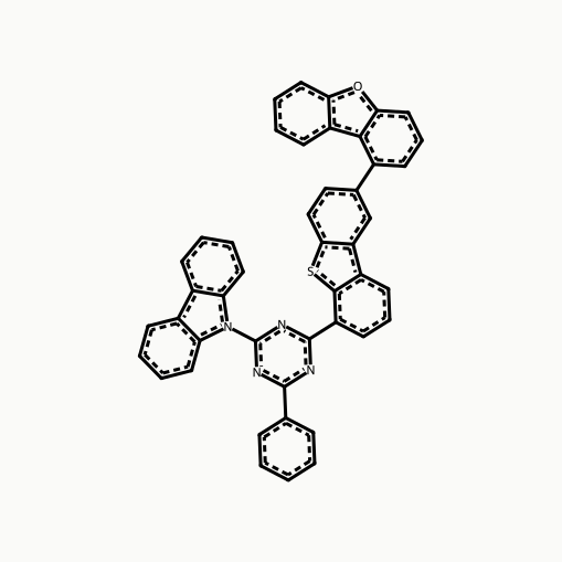 c1ccc(-c2nc(-c3cccc4c3sc3ccc(-c5cccc6oc7ccccc7c56)cc34)nc(-n3c4ccccc4c4ccccc43)n2)cc1